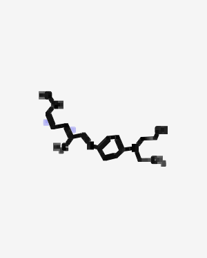 CCN(CCO)c1ccc(N=C/C(C)=C/C=C\NO)cc1